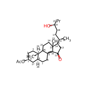 CC(=O)O[C@H]1CC[C@@]2(C)[C@@H](CCC3=C4C(=O)C[C@H]([C@H](C)CCC(O)C(C)C)[C@@]4(C)CC[C@@H]32)C1